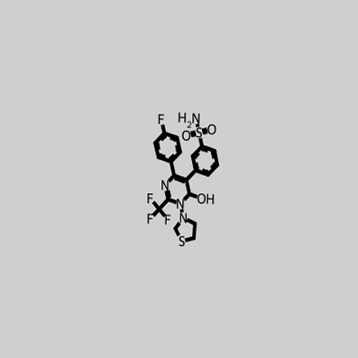 NS(=O)(=O)c1cccc(C2=C(c3ccc(F)cc3)N=C(C(F)(F)F)N(N3CCSC3)C2O)c1